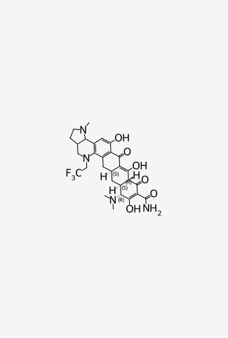 CN1CCC2CN(CC(F)(F)F)c3c(cc(O)c4c3C[C@@H]3C[C@H]5[C@@H](C(=O)C(C(N)=O)=C(O)[C@@H]5N(C)C)C(O)=C3C4=O)C21